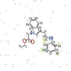 CCOC(=O)Cn1cc(Cc2nc3c(F)c(F)cc(F)c3s2)c2ccccc21